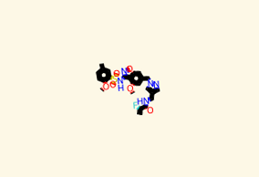 C=C(F)C(=O)NCc1cnn(Cc2cc(OC)c3c(NS(=O)(=O)c4cc(C)ccc4OC)noc3c2)c1